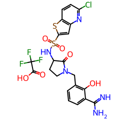 N=C(N)c1cccc(CN2CCC(NS(=O)(=O)c3cc4nc(Cl)ccc4s3)C2=O)c1O.O=C(O)C(F)(F)F